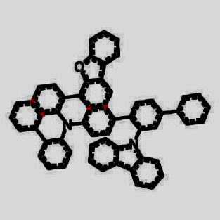 c1ccc(-c2ccc(-c3ccc(N(c4ccccc4-c4ccccc4)c4ccccc4-c4cccc5c4oc4ccccc45)cc3)c(-n3c4ccccc4c4ccccc43)c2)cc1